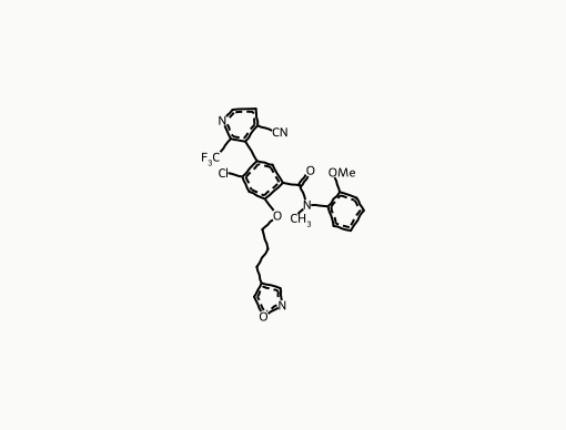 COc1ccccc1N(C)C(=O)c1cc(-c2c(C#N)ccnc2C(F)(F)F)c(Cl)cc1OCCCc1cnoc1